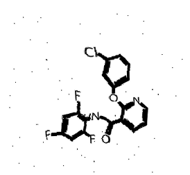 O=C(Nc1c(F)cc(F)cc1F)c1cccnc1Oc1cccc(Cl)c1